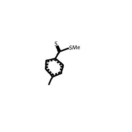 CSC(=S)c1ccc(C)cc1